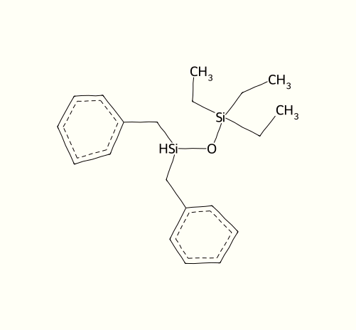 CC[Si](CC)(CC)O[SiH](Cc1ccccc1)Cc1ccccc1